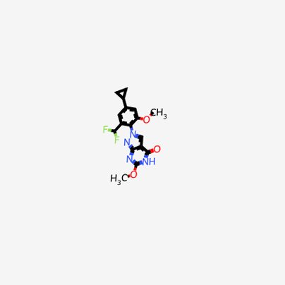 COc1nc2nn(-c3c(OC)cc(C4CC4)cc3C(F)F)cc2c(=O)[nH]1